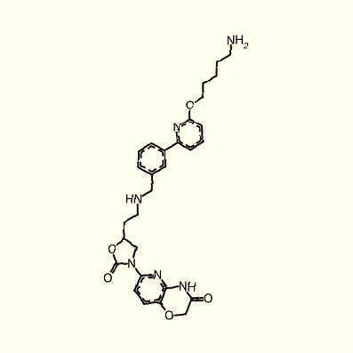 NCCCCCOc1cccc(-c2cccc(CNCCC3CN(c4ccc5c(n4)NC(=O)CO5)C(=O)O3)c2)n1